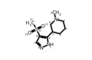 CN1CCCC(c2[nH]ncc2S(C)(=O)=O)C1